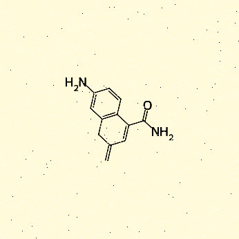 C=C1C=C(C(N)=O)c2ccc(N)cc2C1